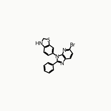 Brc1ccc2nc(-c3ccccc3)n(-c3ccc4c(c3)SCN4)c2n1